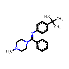 CN1CCN(C(=Nc2ccc(C(C)(C)C)cc2)c2ccccc2)CC1